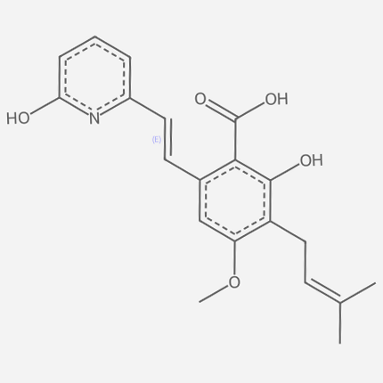 COc1cc(/C=C/c2cccc(O)n2)c(C(=O)O)c(O)c1CC=C(C)C